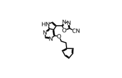 N#Cc1nnc(-c2c[nH]c3ncnc(OCCc4ccccc4)c23)o1